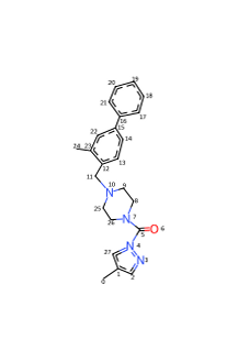 Cc1cnn(C(=O)N2CCN(Cc3ccc(-c4ccccc4)cc3C)CC2)c1